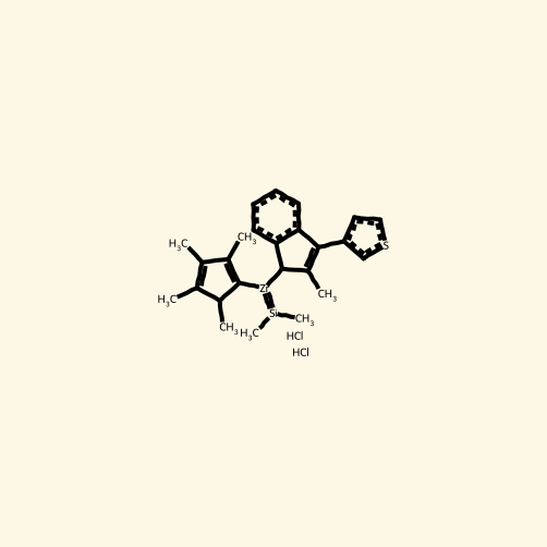 CC1=C(C)C(C)[C]([Zr]([CH]2C(C)=C(c3ccsc3)c3ccccc32)=[Si](C)C)=C1C.Cl.Cl